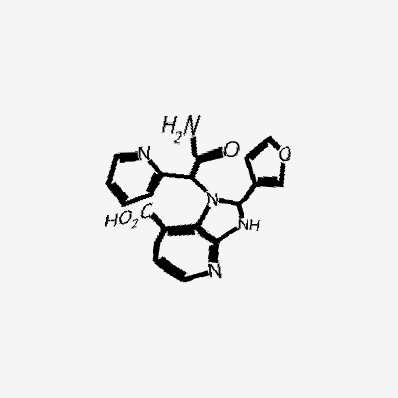 NC(=O)C(c1ccccn1)N1c2c(C(=O)O)ccnc2NC1c1ccoc1